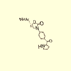 CC(=O)NC[C@H]1CN(c2ccc(C(=O)c3ccc[nH]3)cc2)C(=O)O1